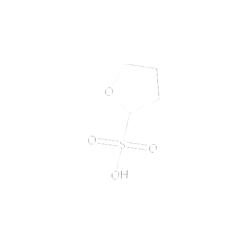 O=S(=O)(O)C1CCCO1